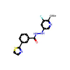 COc1ncc(NNC(=O)c2cccc(-c3nccs3)c2)cc1F